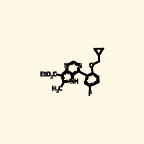 CCOC(=O)c1c(C)[nH]c2c(-c3cc(F)ccc3OCC3CC3)ncnc12